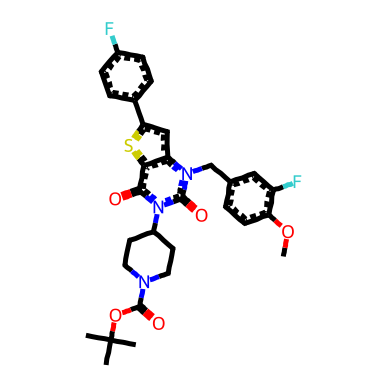 COc1ccc(Cn2c(=O)n(C3CCN(C(=O)OC(C)(C)C)CC3)c(=O)c3sc(-c4ccc(F)cc4)cc32)cc1F